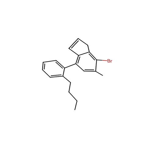 CCCCc1ccccc1-c1cc(C)c(Br)c2c1C=CC2